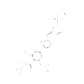 C=C/C(=C\c1ncc(-c2cc(OC)c(C(=O)NC3CC3)c(OC(F)F)c2)n1C)OCC1(O)CCNC1